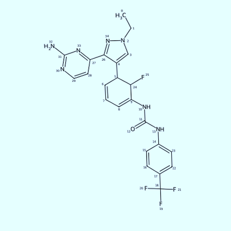 CCn1cc(C2C=CC=C(NC(=O)Nc3ccc(C(F)(F)F)cc3)C2F)c(-c2ccnc(N)n2)n1